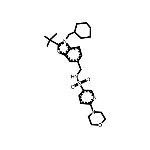 CC(C)(C)c1nc2cc(CNS(=O)(=O)c3ccc(N4CCOCC4)nc3)ccc2n1CC1CCCCC1